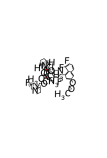 COCOc1cc(-c2nc(Cl)c3c(N4C[C@H]5CC[C@@H](C4)N5C(=O)OC(C)(C)C)nc(OC[C@@]45CCCN4C[C@H](F)C5)nc3c2F)c2c(F)c(F)ccc2c1